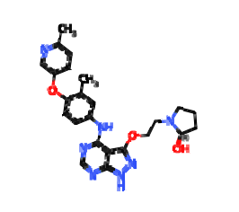 Cc1ccc(Oc2ccc(Nc3ncnc4[nH]nc(OCCN5CCC[C@H]5O)c34)cc2C)cn1